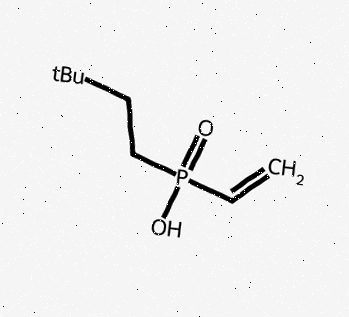 C=CP(=O)(O)CCC(C)(C)C